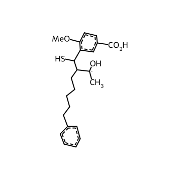 COc1ccc(C(=O)O)cc1C(S)C(CCCCCc1ccccc1)[C](C)O